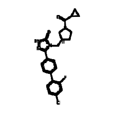 O=C(C1CC1)N1CC[C@@H](Cn2c(-c3ccc(-c4ccc(Cl)cc4F)cc3)n[nH]c2=O)C1